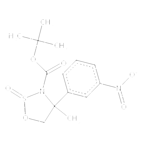 CC(C)(C)OC(=O)N1S(=O)OCC1(C)c1cccc([N+](=O)[O-])c1